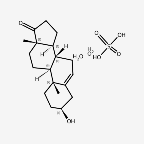 C[C@]12CC[C@H](O)CC1=CC[C@@H]1[C@@H]2CC[C@]2(C)C(=O)CC[C@@H]12.O.O.O=S(=O)(O)O